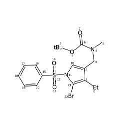 CCc1c(CN(C)C(=O)OC(C)(C)C)cn(S(=O)(=O)c2ccccc2)c1Br